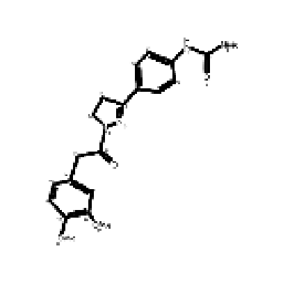 CNC(=O)Nc1ccc(C2=NN(C(=O)Cc3ccc(OC)c(OC)c3)CC2)cc1